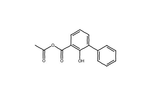 CC(=O)OC(=O)c1cccc(-c2ccccc2)c1O